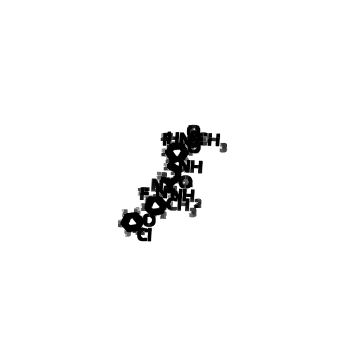 Cc1cc(Oc2ccccc2Cl)cc(F)c1-n1ncc(C(=O)c2cc3cc(F)c(NS(C)(=O)=O)cc3[nH]2)c1N